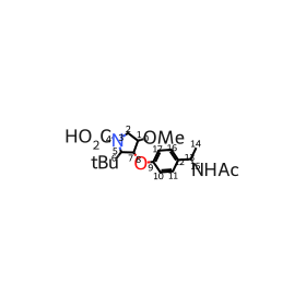 COC1CN(C(=O)O)C(C(C)(C)C)C1Oc1ccc([C@H](C)NC(C)=O)cc1